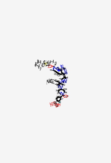 CS(C)(C)CCOCn1ccc2c(-c3cnn(C4(CC#N)CN(C5CCN(C(=O)c6ccc(B(O)O)c(F)c6)CC5)C4)c3)ncnc21